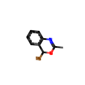 CC1=Nc2ccccc2C(S)O1